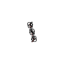 O=C(c1nc2cc3cc4oc(-c5nc6cc7cc8oc(C(=O)c9cccs9)nc8cc7cc6o5)nc4cc3cc2o1)c1cccs1